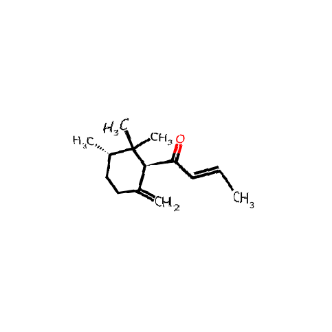 C=C1CC[C@H](C)C(C)(C)[C@H]1C(=O)/C=C/C